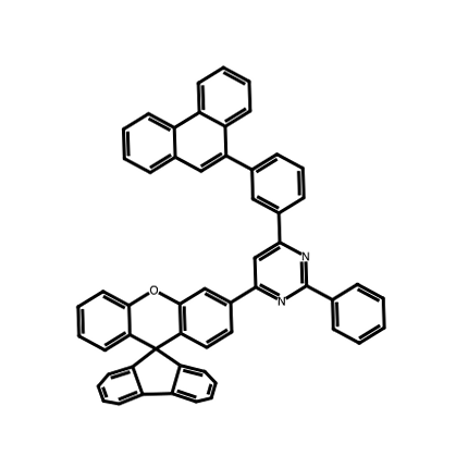 c1ccc(-c2nc(-c3cccc(-c4cc5ccccc5c5ccccc45)c3)cc(-c3ccc4c(c3)Oc3ccccc3C43c4ccccc4-c4ccccc43)n2)cc1